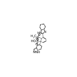 CS(=O)(=O)C1C(c2nc3ccccc3[nH]2)=CC=CC1(c1ccc2[nH]ncc2c1)S(=O)(=O)O